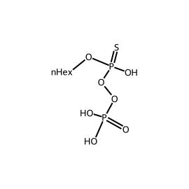 CCCCCCOP(O)(=S)OOP(=O)(O)O